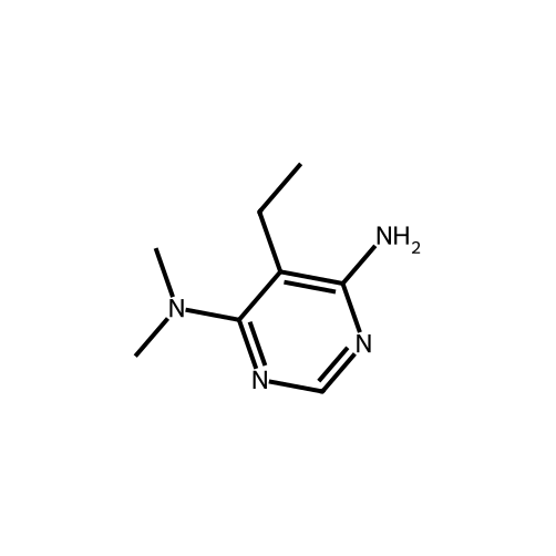 CCc1c(N)ncnc1N(C)C